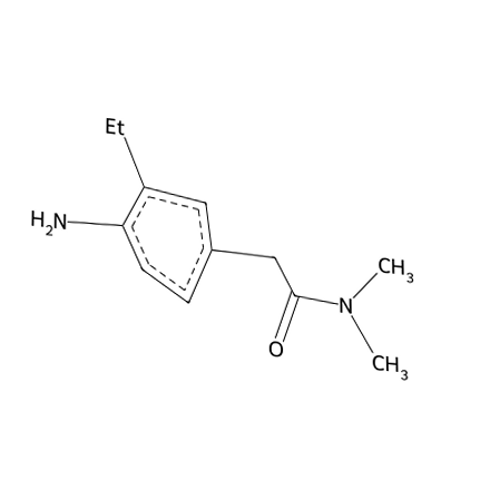 CCc1cc(CC(=O)N(C)C)ccc1N